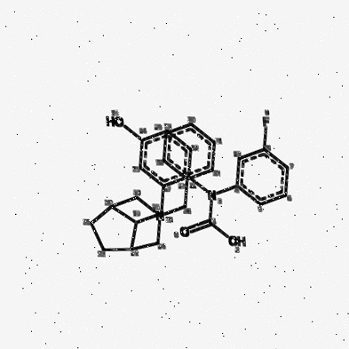 O=C(O)N(c1cccc(F)c1)c1ccc(O)cc1CC1C2CCC1CN(Cc1ccccc1)C2